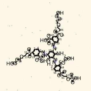 Nc1c(/N=N/c2ccc(S(=O)(=O)CCOSOOO)cc2S(=O)(=O)O)cc(/N=N/c2ccc(S(=O)(=O)CCOSOOO)cc2S(=O)(=O)O)c(N)c1/N=N/c1ccc(S(=O)(=O)CCOS(=O)(=O)O)cc1SOOO